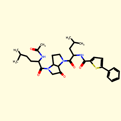 CC(=O)NC(CCC(C)C)C(=O)N1CC(=O)C2C1CCN2C(=O)C(CC(C)C)NC(=O)c1ccc(-c2ccccc2)s1